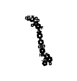 C[C@@]1(O)CCCC1n1c(=O)ccc2cnc(Nc3ccc(S(=O)(=O)C4CCN(C5CCC6(CC5)CN(c5cc7c(cc5F)C(=O)N(C(CCC=O)C(N)=O)C7=O)C6)CC4)cc3)nc21